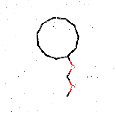 COCOC1CCCCCCCCCC1